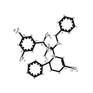 C[C@@H](OC[C@@]1(c2ccccc2)CCC([N+](=O)[O-])=CN1C(=O)OCc1ccccc1)c1cc(C(F)(F)F)cc(C(F)(F)F)c1